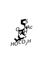 CC(=O)N(c1cccs1)C1C(=O)N2CC(C(=O)O)(C(C)O)CS[C@H]12